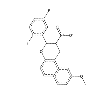 COc1ccc2ccc3c(c2c1)CC([N+](=O)[O-])C(c1cc(F)ccc1F)O3